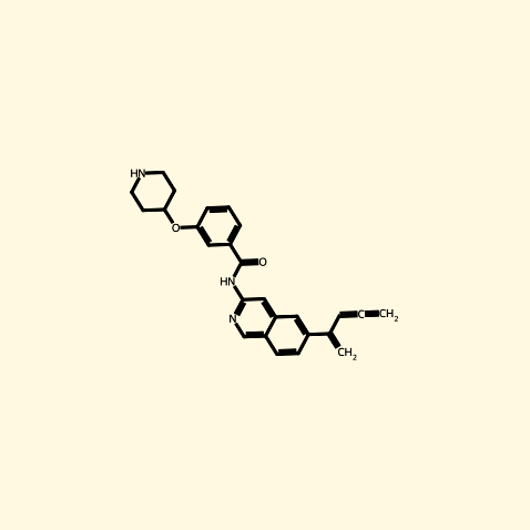 C=C=CC(=C)c1ccc2cnc(NC(=O)c3cccc(OC4CCNCC4)c3)cc2c1